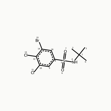 CC(C)(C)NS(=O)(=O)c1cc(Cl)c(Cl)c(Br)c1